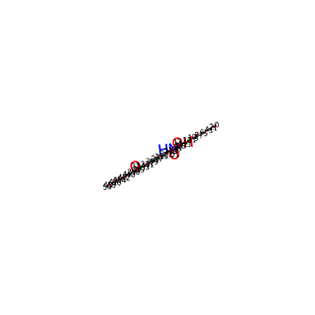 CCCCCCCCCCCCCCCC[C@H](O)CNC(=O)CCCCCCCCCCCCCCC(=O)CCCCCCCCCCCCC